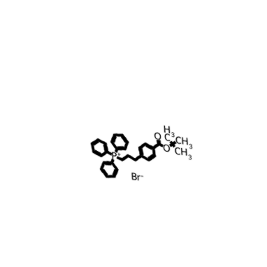 CC(C)(C)OC(=O)c1ccc(CCC[P+](c2ccccc2)(c2ccccc2)c2ccccc2)cc1.[Br-]